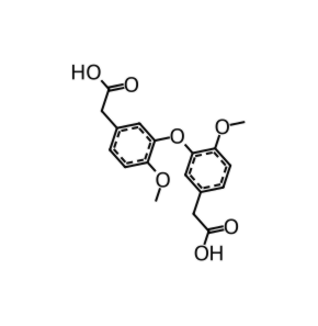 COc1ccc(CC(=O)O)cc1Oc1cc(CC(=O)O)ccc1OC